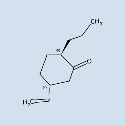 C=C[C@@H]1CC[C@@H](CCC)C(=O)C1